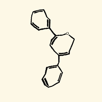 C1=C(c2ccccc2)C=C(c2ccccc2)OC1